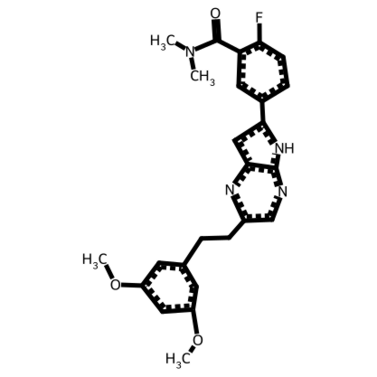 COc1cc(CCc2cnc3[nH]c(-c4ccc(F)c(C(=O)N(C)C)c4)cc3n2)cc(OC)c1